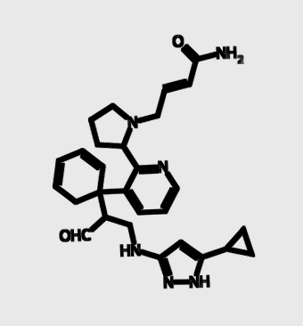 NC(=O)C=CCN1CCCC1c1ncccc1C1(C(C=O)CNc2cc(C3CC3)[nH]n2)C=CC=CC1